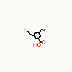 O=C(O)c1cc(CCF)cc(CCF)c1